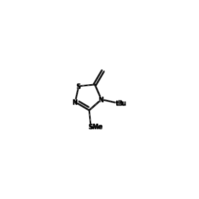 C=C1SN=C(SC)N1C(C)(C)C